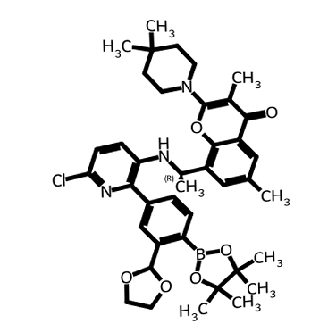 Cc1cc([C@@H](C)Nc2ccc(Cl)nc2-c2ccc(B3OC(C)(C)C(C)(C)O3)c(C3OCCO3)c2)c2oc(N3CCC(C)(C)CC3)c(C)c(=O)c2c1